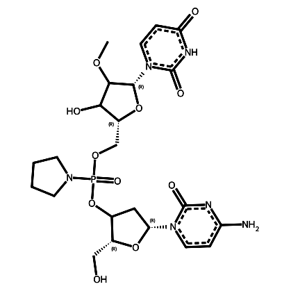 COC1C(O)[C@@H](COP(=O)(OC2C[C@H](n3ccc(N)nc3=O)O[C@@H]2CO)N2CCCC2)O[C@H]1n1ccc(=O)[nH]c1=O